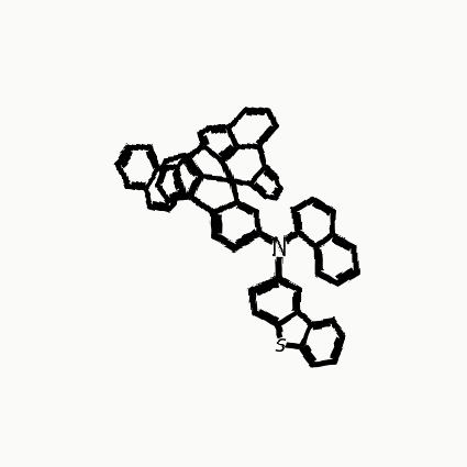 c1ccc2c(c1)-c1ccc(N(c3ccc4sc5ccccc5c4c3)c3cccc4ccccc34)cc1C21c2ccccc2-c2cccc3ccc(-c4cccc5ccccc45)c1c23